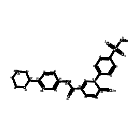 CNS(=O)(=O)c1ccc(-n2cc(C(=O)Nc3ccc(C4CNCCO4)nc3)ccc2=O)cc1